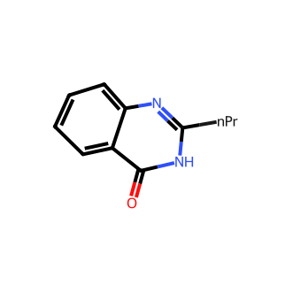 CCCc1nc2ccccc2c(=O)[nH]1